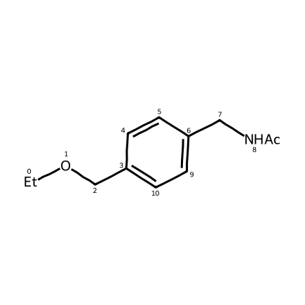 CCOCc1ccc(CNC(C)=O)cc1